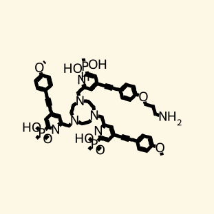 COc1ccc(C#Cc2cc(CN3CCN(Cc4cc(C#Cc5ccc(OC)cc5)cc(P(C)(=O)O)n4)CCN(Cc4cc(C#Cc5ccc(OCCCN)cc5)cc([PH](C)(O)O)n4)CC3)nc(P(C)(=O)O)c2)cc1